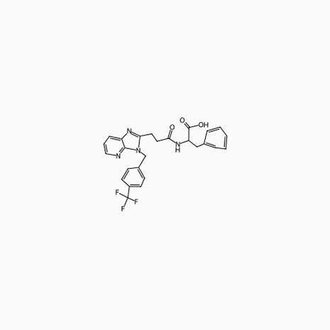 O=C(CCc1nc2cccnc2n1Cc1ccc(C(F)(F)F)cc1)NC(Cc1ccccc1)C(=O)O